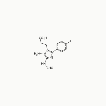 Nc1c(NC=O)nn(-c2ccc(F)cc2)c1CCC(=O)O